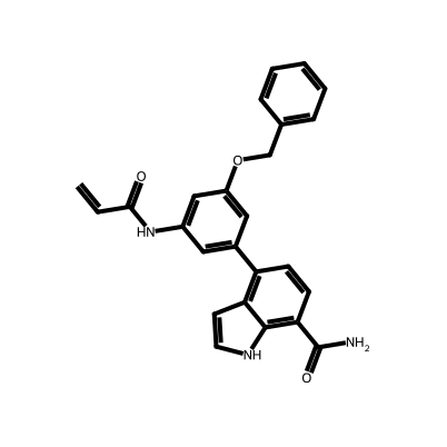 C=CC(=O)Nc1cc(OCc2ccccc2)cc(-c2ccc(C(N)=O)c3[nH]ccc23)c1